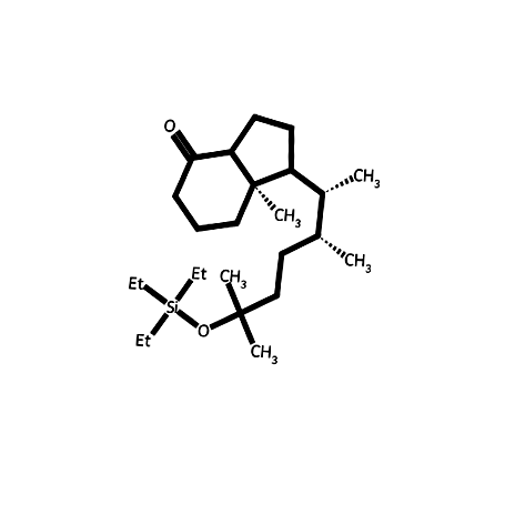 CC[Si](CC)(CC)OC(C)(C)CC[C@@H](C)[C@@H](C)C1CCC2C(=O)CCC[C@@]21C